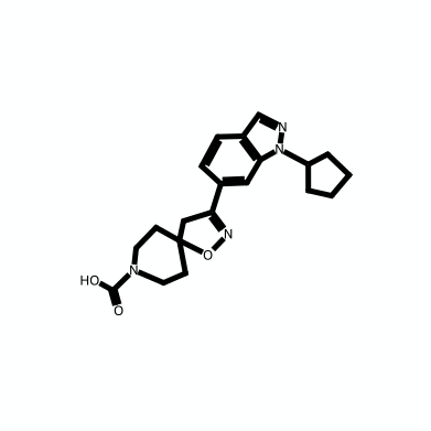 O=C(O)N1CCC2(CC1)CC(c1ccc3cnn(C4CCCC4)c3c1)=NO2